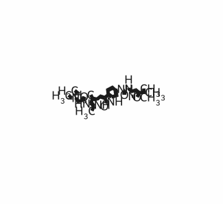 CCN(CC)CC(=O)Nc1c(C)[nH]c(C=C2C(=O)Nc3cc(NC(=O)Nc4cc(C(C)(C)C)on4)ccc32)c1C